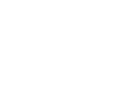 CCOC(=O)CCC(=O)c1nc(Cc2c(C)cccc2F)ccc1O